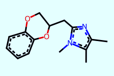 Cc1nc(CC2COc3ccccc3O2)n(C)c1C